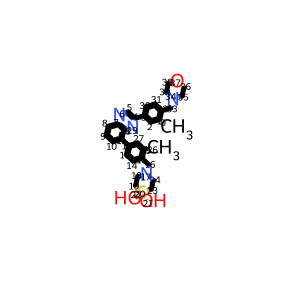 Cc1cc(-c2cnc3cccc(-c4ccc(CN5CCS(O)(O)CC5)c(C)c4)c3n2)ccc1CN1CCOCC1